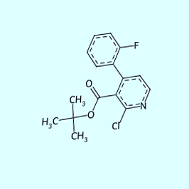 CC(C)(C)OC(=O)c1c(-c2ccccc2F)ccnc1Cl